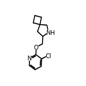 Clc1cccnc1OCC1CC2(CCC2)CN1